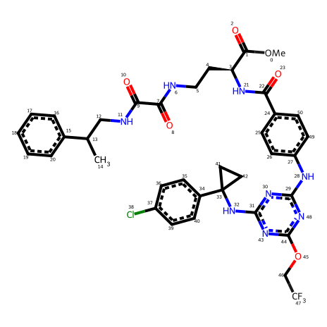 COC(=O)[C@H](CCNC(=O)C(=O)NCC(C)c1ccccc1)NC(=O)c1ccc(Nc2nc(NC3(c4ccc(Cl)cc4)CC3)nc(OCC(F)(F)F)n2)cc1